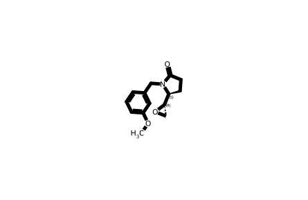 COc1cccc(CN2C(=O)CC[C@H]2[C@@H]2CO2)c1